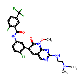 COn1c(=O)c(-c2cc(NC(=O)c3cc(C(F)(F)F)ccc3F)ccc2Cl)cc2cnc(NCCN(C)C)nc21